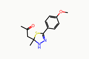 COc1ccc(C2=NNC(C)(CC(C)=O)S2)cc1